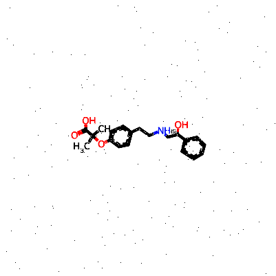 CC(C)(Oc1ccc(CCNC[C@@H](O)c2ccccc2)cc1)C(=O)O